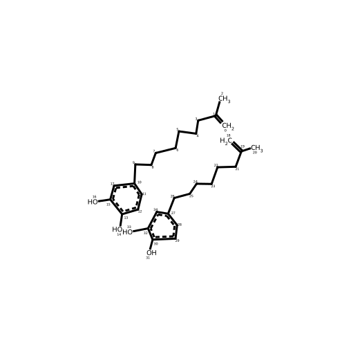 C=C(C)CCCCCCCc1ccc(O)c(O)c1.C=C(C)CCCCCCc1ccc(O)c(O)c1